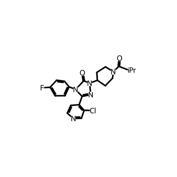 CC(C)C(=O)N1CCC(n2nc(-c3ccncc3Cl)n(-c3ccc(F)cc3)c2=O)CC1